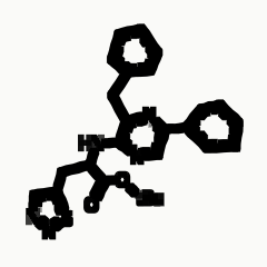 CC(C)(C)OC(=O)C(Cc1cnns1)Nc1ncc(-c2ccccc2)nc1Cc1ccccc1